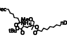 CCCCCCCCCCCCCCCCCC(=O)OC(C)(COC)SC[C@H](NC(=O)CCCCCCCCCCCCCCC)C(=O)OC(C)(C)C